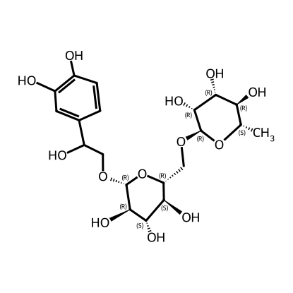 C[C@@H]1O[C@@H](OC[C@H]2O[C@@H](OCC(O)c3ccc(O)c(O)c3)[C@H](O)[C@@H](O)[C@@H]2O)[C@H](O)[C@H](O)[C@H]1O